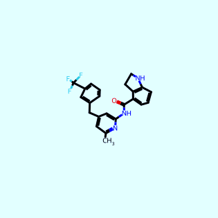 Cc1cc(Cc2cccc(C(F)(F)F)c2)cc(NC(=O)c2cccc3c2CCN3)n1